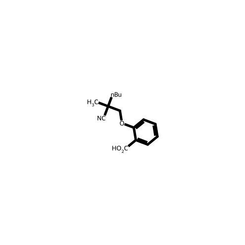 CCCCC(C)(C#N)COc1ccccc1C(=O)O